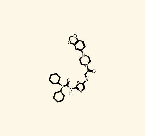 O=C(CSc1cnc(NC(=O)N(C2CCCCC2)C2CCCCC2)s1)N1CCN(c2ccc3c(c2)OCO3)CC1